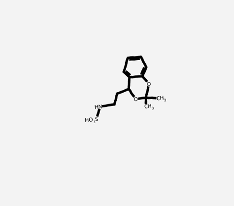 CC1(C)Oc2ccccc2C(CCNS(=O)(=O)O)O1